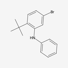 CC(C)(C)c1ccc(Br)cc1Nc1ccccc1